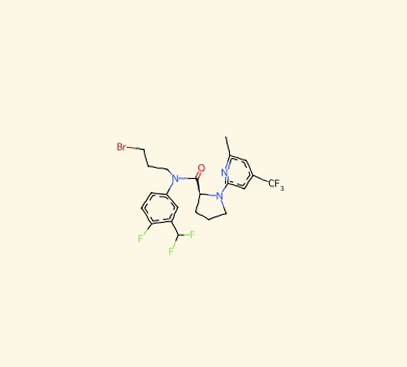 Cc1cc(C(F)(F)F)cc(N2CCC[C@H]2C(=O)N(CCCBr)c2ccc(F)c(C(F)F)c2)n1